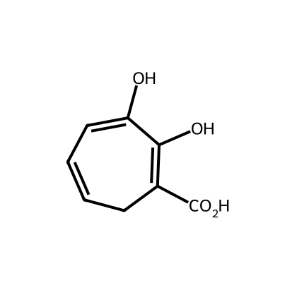 O=C(O)C1=C(O)C(O)=CC=CC1